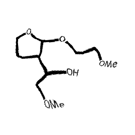 COCCOC1OCCC1C(O)COC